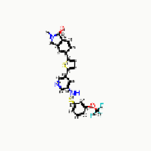 CN1Cc2cc(-c3ccc(-c4cncc(NSc5cccc(OC(F)(F)F)c5)c4)s3)ccc2C1=O